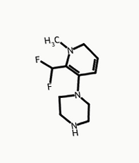 CN1CC=CC(N2CCNCC2)=C1C(F)F